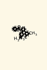 Cc1cc(C)cc(-c2cncc(NC(=O)c3ccncc3)c2N2CCC(N)CC2)c1